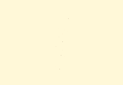 CCO[Si](CC[Si](C)(C)OC(C)(CC)[Si](C)(C)OC(C)(CC)[Si](C)(C)CC[Si](OCC)(OCC)OCC)(OCC)OCC